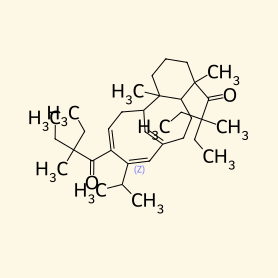 CCC(C)(CC)C(=O)C1=CCC2C=C(/C=C\1C(C)C)CCC1C(C)(C(=O)C(C)(CC)CC)CCCC21C